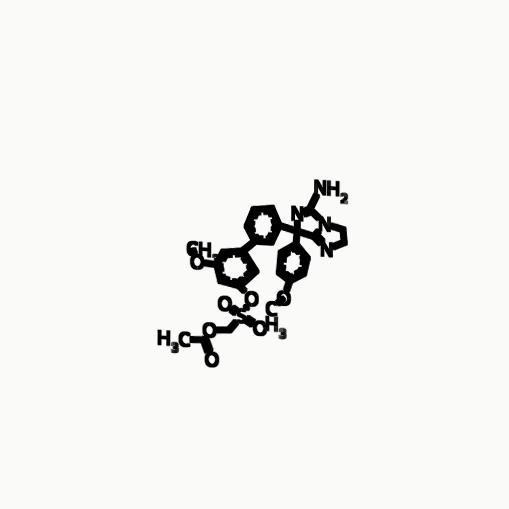 COc1ccc(C2(c3cccc(-c4cc(OC)cc(OS(=O)(=O)COC(C)=O)c4)c3)N=C(N)N3CCN=C32)cc1